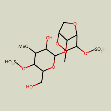 COC1C(O)C(OC2C3COC2C(OS(=O)(=O)O)C(C)O3)OC(CO)C1OS(=O)(=O)O